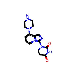 O=C1CCN(c2ncc3c(N4CCNCC4)cccn23)C(=O)N1